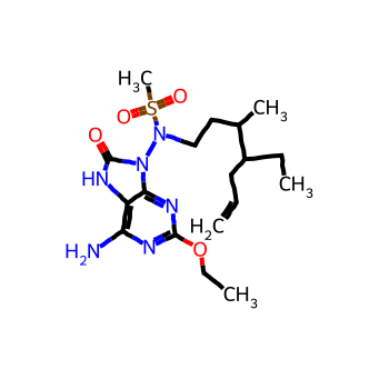 C=CCC(CC)C(C)CCN(n1c(=O)[nH]c2c(N)nc(OCC)nc21)S(C)(=O)=O